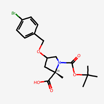 CC(C)(C)OC(=O)N1CC(OCc2ccc(Br)cc2)C[C@@]1(C)C(=O)O